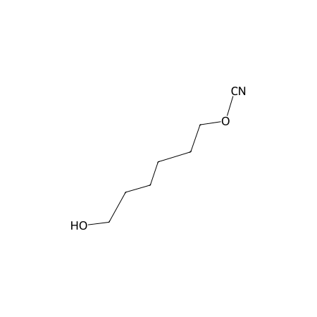 N#COCCCCCCO